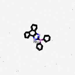 CCCCn1c(P(c2ccccc2)c2ccccc2)nc2c3ccccc3c3ccccc3c21